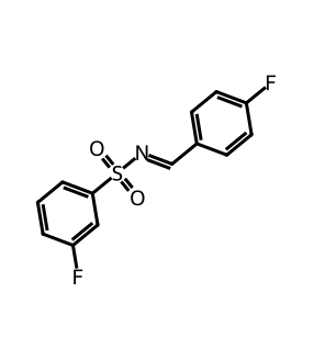 O=S(=O)(/N=C/c1ccc(F)cc1)c1cccc(F)c1